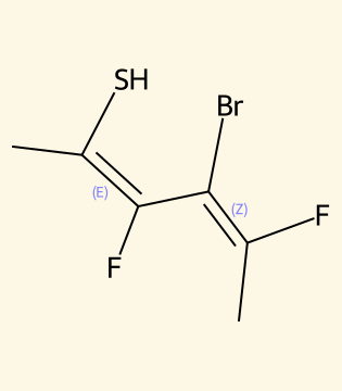 C/C(F)=C(Br)\C(F)=C(\C)S